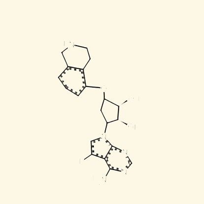 Nc1ncnc2c1c(F)cn2C1CC(Oc2cccc3c2CCNC3)[C@@H](O)[C@H]1O